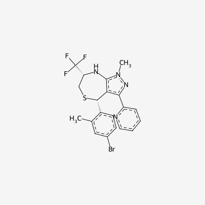 Cc1cc(Br)ccc1[C@@H]1SC[C@H](C(F)(F)F)Nc2c1c(-c1ccccn1)nn2C